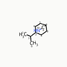 CC(C)C12CCC(CC1)CN2